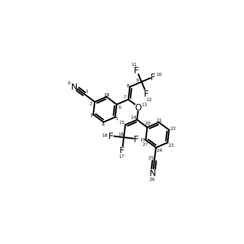 N#Cc1cccc(C(=CC(F)(F)F)OC(=CC(F)(F)F)c2cccc(C#N)c2)c1